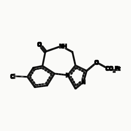 CCOC(=O)Oc1ncn2c1CNC(=O)c1cc(Cl)ccc1-2